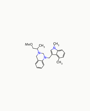 COCC(C)N1Cc2ccccc2N(Cc2cn(C)c3cccc(C)c23)C1